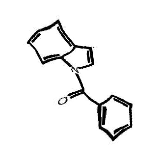 O=C(c1ccccc1)n1c[c]c2ccccc21